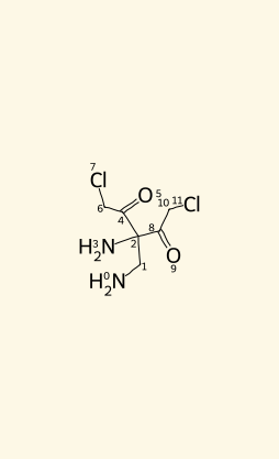 NCC(N)(C(=O)CCl)C(=O)CCl